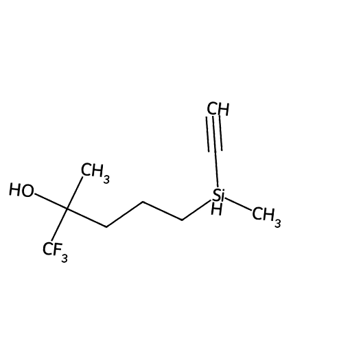 C#C[SiH](C)CCCC(C)(O)C(F)(F)F